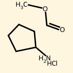 COC=O.Cl.NC1CCCC1